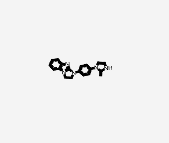 CC1NC=CN1c1ccc(N2CCn3c2nc2ccccc23)cc1